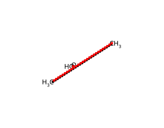 CCCCCCCCCCCCCCCCCCCCCCCCCCCCCCCCCCC(CCCCCCCCCCCCCCCCCCCC)C(=O)O